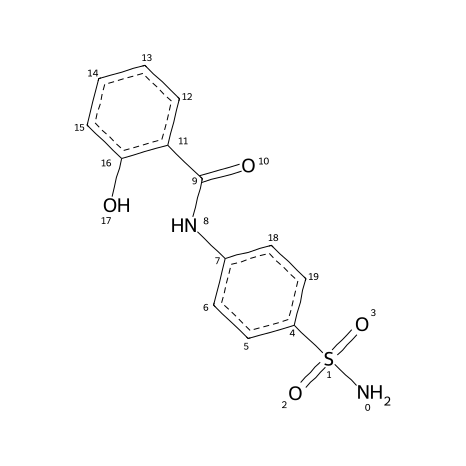 NS(=O)(=O)c1ccc(NC(=O)c2ccccc2O)cc1